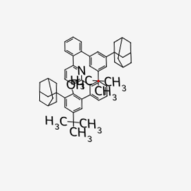 CC(C)(C)c1cc(-c2ccccc2-c2cccc(-c3ccccc3-c3cc(C(C)(C)C)cc(C45CC6CC(CC(C6)C4)C5)c3O)n2)cc(C23CC4CC(CC(C4)C2)C3)c1